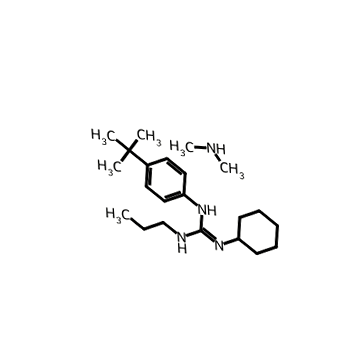 CCCNC(=NC1CCCCC1)Nc1ccc(C(C)(C)C)cc1.CNC